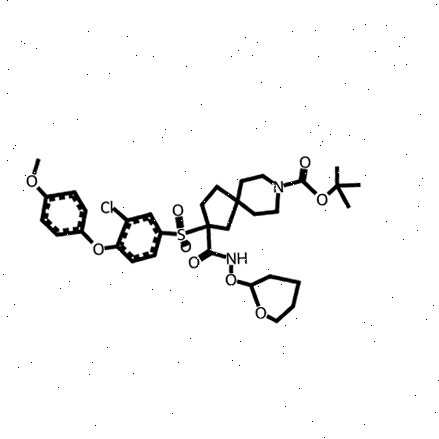 COc1ccc(Oc2ccc(S(=O)(=O)C3(C(=O)NOC4CCCCO4)CCC4(CCN(C(=O)OC(C)(C)C)CC4)C3)cc2Cl)cc1